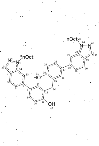 CCCCCCCCn1nnc2ccc(-c3ccc(O)c(Cc4cc(-c5ccc6nnn(CCCCCCCC)c6c5)ccc4O)c3)cc21